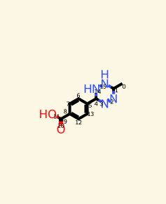 CC1N=NC(c2ccc(C(=O)O)cc2)NN1